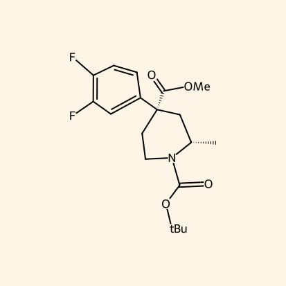 COC(=O)[C@@]1(c2ccc(F)c(F)c2)CCN(C(=O)OC(C)(C)C)[C@@H](C)C1